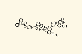 COc1ccc(CC(=O)Nc2cccc(N(C)C(=O)CCN3CCC(OC(=O)Nc4ccccc4-c4ccccc4)CC3)c2)cc1CC(C)NC[C@H](O)c1ccc(O)c2[nH]c(=O)ccc12